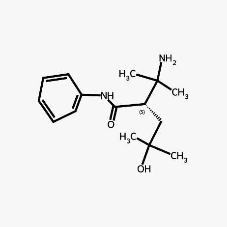 CC(C)(O)C[C@H](C(=O)Nc1ccccc1)C(C)(C)N